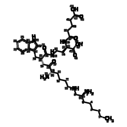 CCCCCC[C@H](N)CNCCCC[C@H](N)C(=O)C[C@H](Cc1c[nH]c2ccccc12)C(=O)NCC[C@@H](NC(=O)CCCC(=O)O)C(=O)O